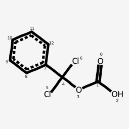 O=C(O)OC(Cl)(Cl)c1ccccc1